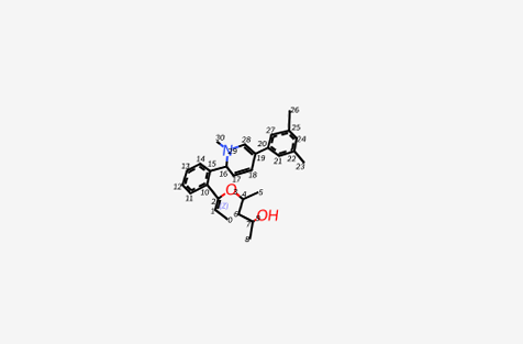 C/C=C(\OC(C)CC(C)O)c1ccccc1C1C=CC(c2cc(C)cc(C)c2)=CN1C